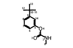 CNC(=O)Oc1cccc(C(C)(C)C)c1